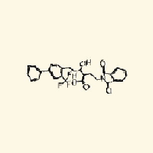 O=C(O)C(CCN1C(=O)c2ccccc2C1=O)C(O)CCc1ccc(-c2ccccc2)cc1C(F)(F)F